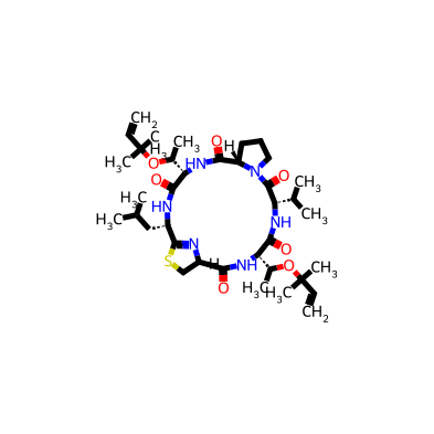 C=CC(C)(C)OC(C)[C@@H]1NC(=O)[C@H]2CSC(=N2)[C@H](CC(C)C)NC(=O)[C@H](C(C)OC(C)(C)C=C)NC(=O)[C@@H]2CCCN2C(=O)[C@H](C(C)C)NC1=O